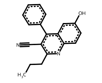 CCCc1nc2ccc(O)cc2c(-c2ccccc2)c1C#N